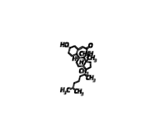 CC(C)CCCC(C)[C@H]1CC[C@@]2(C)[C@@H]3NC(=O)C=C4C[C@@H](O)CC[C@]4(C)[C@H]3CC[C@]12C